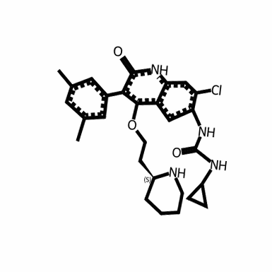 Cc1cc(C)cc(-c2c(OCC[C@@H]3CCCCN3)c3cc(NC(=O)NC4CC4)c(Cl)cc3[nH]c2=O)c1